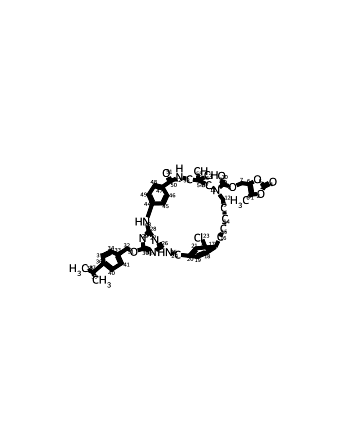 Cc1oc(=O)oc1COC(=O)N1CCCCCc2ccc(cc2Cl)CNc2nc(nc(OCc3ccc(C(C)C)cc3)n2)Nc2ccc(cc2)C(=O)NCC(C)(C)C1